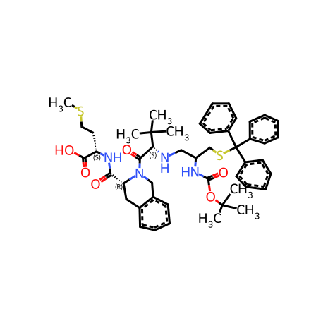 CSCC[C@H](NC(=O)[C@H]1Cc2ccccc2CN1C(=O)[C@@H](NCC(CSC(c1ccccc1)(c1ccccc1)c1ccccc1)NC(=O)OC(C)(C)C)C(C)(C)C)C(=O)O